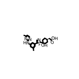 Cc1cc(Nc2nccc(C)n2)cc(-c2cnc([C@]3(O)CC[C@@H](CC(=O)O)CC3)s2)c1